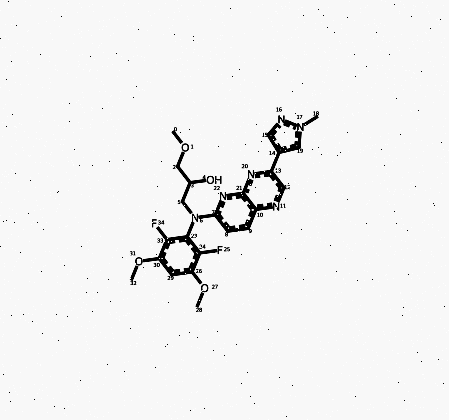 COCC(O)CN(c1ccc2ncc(-c3cnn(C)c3)nc2n1)c1c(F)c(OC)cc(OC)c1F